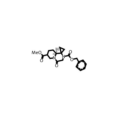 COC(=O)C1CC[C@@H]2N(C1)C(=O)CN(C(=O)OCc1ccccc1)C21CC1